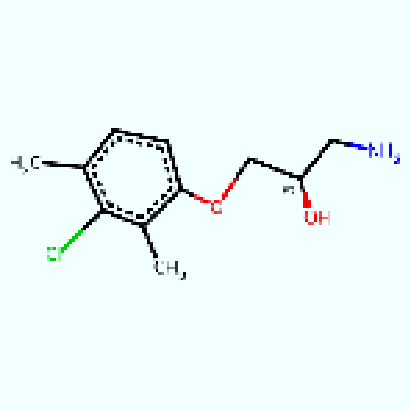 Cc1ccc(OC[C@H](O)CN)c(C)c1Cl